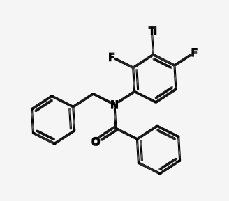 O=C(c1ccccc1)N(Cc1ccccc1)c1ccc(F)[c]([Ti])c1F